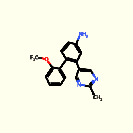 Cc1ncc(-c2cc(N)ccc2-c2ccccc2OC(F)(F)F)cn1